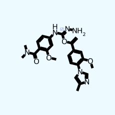 C=C(O/C(=N\N)Nc1ccc(C(=O)N(C)C)c(OC)c1)c1ccc(-n2cnc(C)c2)c(OC)c1